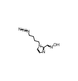 [N-]=[N+]=NCCCCn1ccnc1/C=N/O